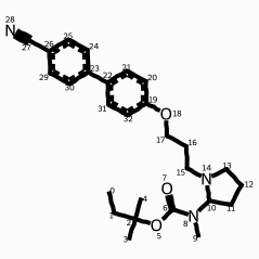 CCC(C)(C)OC(=O)N(C)C1CCCN1CCCOc1ccc(-c2ccc(C#N)cc2)cc1